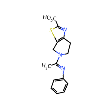 C/C(=N\c1ccccc1)N1CCc2nc(C(=O)O)sc2C1